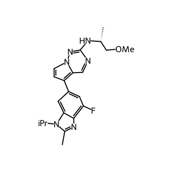 COC[C@@H](C)Nc1ncc2c(-c3cc(F)c4nc(C)n(C(C)C)c4c3)ccn2n1